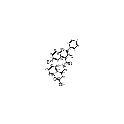 Cc1c(-c2ccccc2)nc2ccc(Br)cc2c1C(=O)NCC(CC(=O)O)c1ccccn1